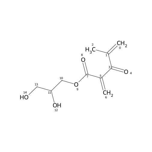 C=C(C)C(=O)C(=C)C(=O)OCC(O)CO